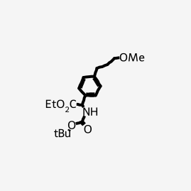 CCOC(=O)C(NC(=O)OC(C)(C)C)c1ccc(CCCOC)cc1